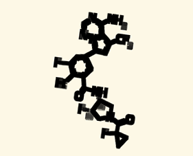 CCc1c(F)cc(-c2cc(C(F)(F)F)c3c(N)ncnn23)cc1C(=O)N[C@@H]1CN(C(=O)C2(F)CC2)C[C@@H]1F